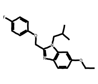 CCOc1ccc2nc(COc3ccc(F)cc3)n(CC(C)C)c2c1